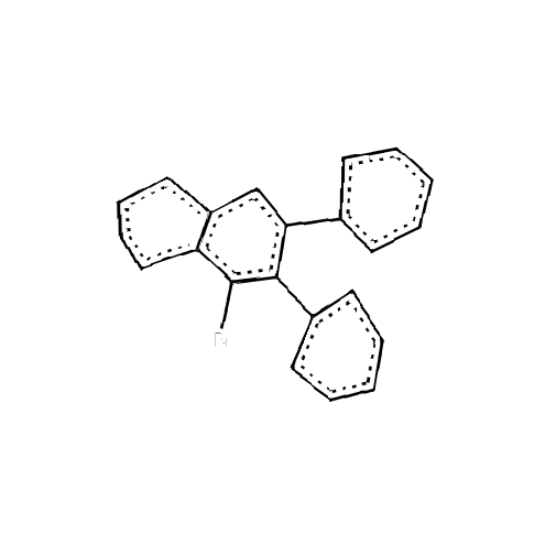 [Bi][c]1c(-c2ccccc2)c(-c2ccccc2)cc2ccccc12